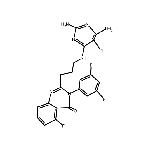 Nc1nc(N)c(Cl)c(NCCCc2nc3cccc(F)c3c(=O)n2-c2cc(F)cc(F)c2)n1